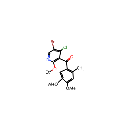 CCOc1ncc(Br)c(Cl)c1C(=O)c1cc(OC)c(OC)cc1C